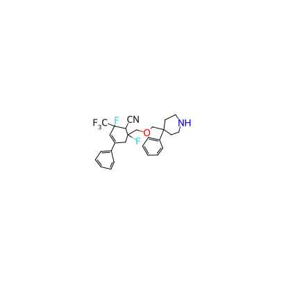 N#CC1C(F)(COCC2(c3ccccc3)CCNCC2)CC(c2ccccc2)=CC1(F)C(F)(F)F